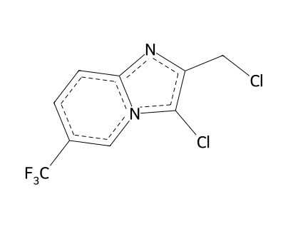 FC(F)(F)c1ccc2nc(CCl)c(Cl)n2c1